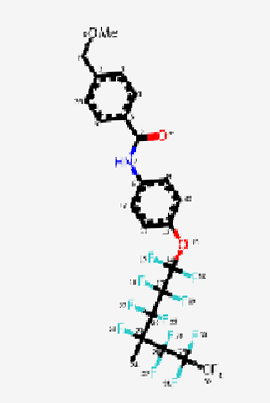 COCc1ccc(C(=O)Nc2ccc(OC(F)(F)C(F)(F)C(F)(F)C(C)(F)C(F)(F)C(F)(F)C(F)(F)F)cc2)cc1